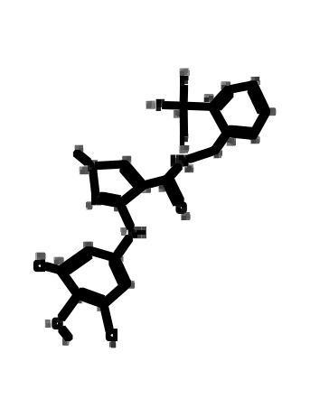 COc1c(Cl)cc(Nc2nn(C)cc2C(=O)NCc2ccccc2C(F)(F)F)cc1Cl